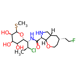 CSC1O[C@H]([C@H](NC(=O)[C@H]2NC[C@@H]3C[C@H](CCF)CCO[C@H]32)[C@H](C)Cl)C(O)C(O)[C@H]1O